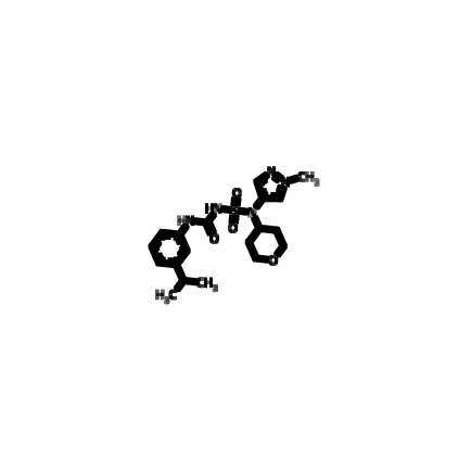 CC(C)c1cccc(NC(=O)NS(=O)(=O)N(c2cnn(C)c2)C2CCOCC2)c1